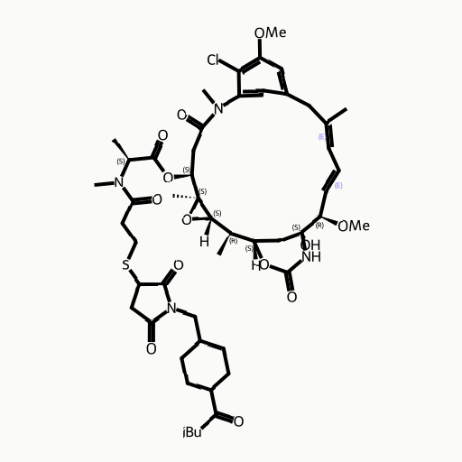 CCC(C)C(=O)C1CCC(CN2C(=O)CC(SCCC(=O)N(C)[C@@H](C)C(=O)O[C@H]3CC(=O)N(C)c4cc(cc(OC)c4Cl)C/C(C)=C/C=C/[C@@H](OC)[C@@]4(O)C[C@H](OC(=O)N4)[C@@H](C)[C@@H]4O[C@@]34C)C2=O)CC1